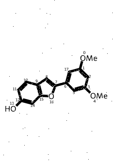 COc1cc(OC)cc(-c2cc3ccc(O)cc3o2)c1